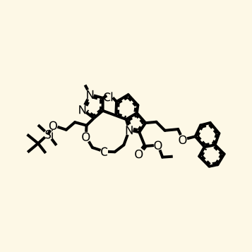 CCOC(=O)c1c(CCCOc2cccc3ccccc23)c2ccc(Cl)c3c2n1CCCCOC(CCO[Si](C)(C)C(C)(C)C)c1nn(C)c(C)c1-3